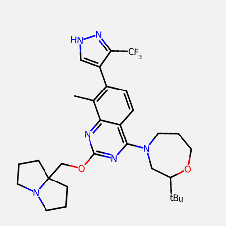 Cc1c(-c2c[nH]nc2C(F)(F)F)ccc2c(N3CCCOC(C(C)(C)C)C3)nc(OCC34CCCN3CCC4)nc12